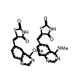 CNc1ncnc2ccc(C=C3SC(=O)NC3=O)cc12.COc1ncnc2ccc(C=C3SC(=O)NC3=O)cc12